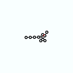 c1ccc(-c2ccc(-c3ccc(-c4ccc(N(c5ccccc5)c5c(-c6ccc(-c7ccccc7)cc6)c6ccccc6c6ccccc56)cc4)cc3)cc2)cc1